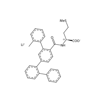 CSCC[C@H](NC(=O)c1ccc(-c2ccccc2-c2ccccc2)cc1-c1ccccc1C)C(=O)[O-].[Li+]